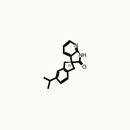 CC(C)c1ccc2c(c1)C[C@]1(C2)C(=O)Nc2ncccc21